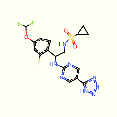 O=S(=O)(NCC(Nc1ncc(-c2nnn[nH]2)cn1)c1ccc(OC(F)F)cc1F)C1CC1